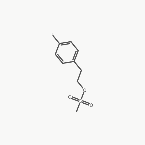 CS(=O)(=O)OCCc1ccc(I)cc1